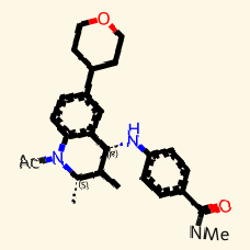 CNC(=O)c1ccc(N[C@H]2c3cc(C4CCOCC4)ccc3N(C(C)=O)[C@@H](C)C2C)cc1